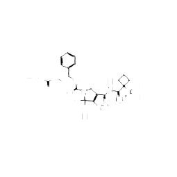 CC(=O)OC[C@@H](OC(=O)N1Cc2c(NC(=O)C3([Si](C)(C)C)CCC3)n[nH]c2C1(C)C)c1ccccc1